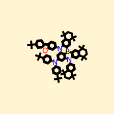 CC(C)(C)c1ccc(N(c2ccc(C(C)(C)C)cc2)c2cc3c4c(c2)N(c2ccc5c(c2)oc2cc(C(C)(C)C)ccc25)c2cc5c(cc2B4c2cc4c(cc2N3c2ccc3c(c2)C(C)(C)CCC3(C)C)C(C)(C)CCC4(C)C)C(C)(C)CCC5(C)C)cc1